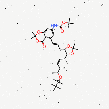 C[C@H](/C=C\[C@@H](C)[C@H](C)O[Si](C)(C)C(C)(C)C)[C@H]1OC(C)(C)O[C@H]1C/C=C/c1cc(NC(=O)OC(C)(C)C)cc2c1C(=O)OC(C)(C)O2